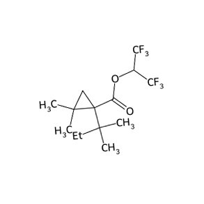 CCC(C)(C)C1(C(=O)OC(C(F)(F)F)C(F)(F)F)CC1(C)C